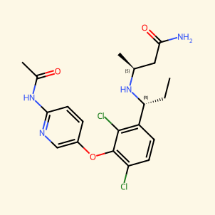 CC[C@@H](N[C@@H](C)CC(N)=O)c1ccc(Cl)c(Oc2ccc(NC(C)=O)nc2)c1Cl